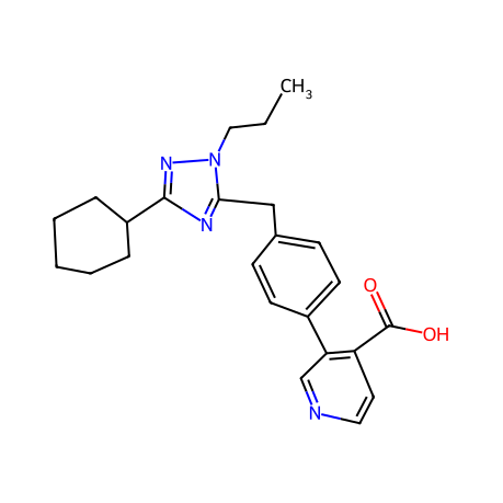 CCCn1nc(C2CCCCC2)nc1Cc1ccc(-c2cnccc2C(=O)O)cc1